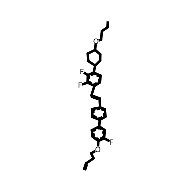 C=CCCOc1ccc(-c2ccc(/C=C/c3ccc(C4CCC(OCCCC)CC4)c(F)c3F)cc2)cc1F